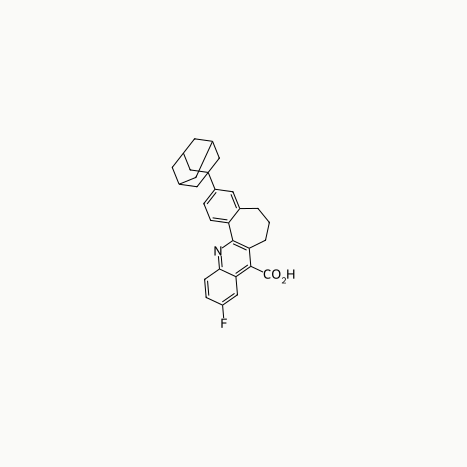 O=C(O)c1c2c(nc3ccc(F)cc13)-c1ccc(C34CC5CC(CC(C5)C3)C4)cc1CCC2